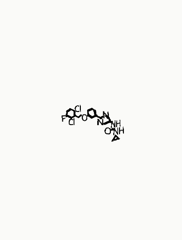 O=C(Nc1cnc(-c2cccc(OCCc3c(Cl)ccc(F)c3Cl)c2)nc1)NC1CC1